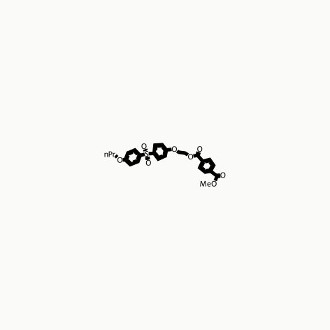 CCCOc1ccc(S(=O)(=O)c2ccc(OCCOC(=O)c3ccc(C(=O)OC)cc3)cc2)cc1